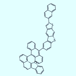 c1ccc2cc(-c3cc4cc5c(cc4s3)sc3ccc(-c4c6ccccc6c(-c6cccc7ccc8c9ccccc9oc8c67)c6ccccc46)cc35)ccc2c1